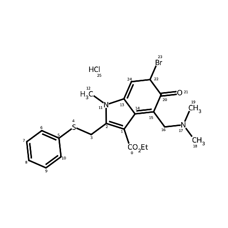 CCOC(=O)c1c(CSc2ccccc2)n(C)c2c1=C(CN(C)C)C(=O)C(Br)C=2.Cl